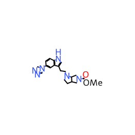 COC(=O)N1CC2CCN(CCc3c[nH]c4ccc(-n5cnnc5)cc34)C2C1